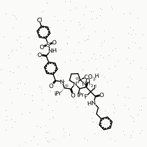 CC(C)C(C(=O)C(F)(F)C(=O)NCCc1ccccc1)[N+]1(C(=O)[C@@H]([N]C(=O)c2ccc(C(=O)NS(=O)(=O)c3ccc(Cl)cc3)cc2)C(C)C)CCC[C@@]1(N)C(=O)O